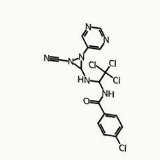 N#CN1C(NC(NC(=O)c2ccc(Cl)cc2)C(Cl)(Cl)Cl)N1c1cncnc1